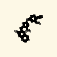 Cc1cc(O[C@@H]2C[C@H](C)N(Cc3nc4c(cc3F)OCCO4)C2)ncc1C#N